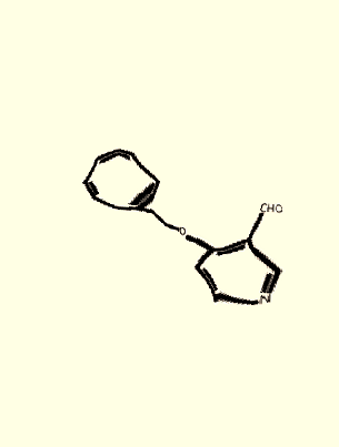 O=Cc1cnccc1OCc1ccccc1